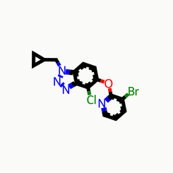 Clc1c(Oc2ncccc2Br)ccc2c1nnn2CC1CC1